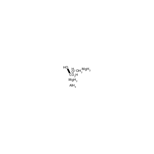 O.O.O=C(O)O.[AlH3].[MgH2].[MgH2]